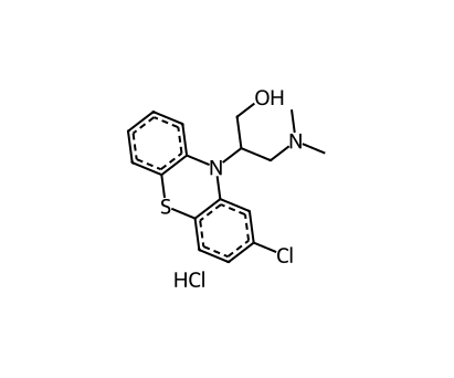 CN(C)CC(CO)N1c2ccccc2Sc2ccc(Cl)cc21.Cl